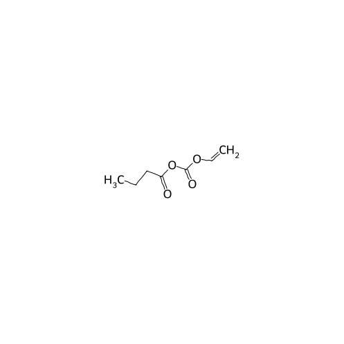 C=COC(=O)OC(=O)CCC